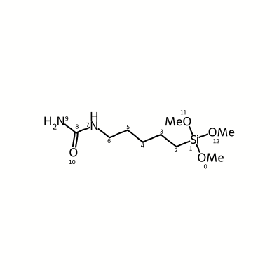 CO[Si](CCCCCNC(N)=O)(OC)OC